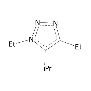 CCc1nnn(CC)c1C(C)C